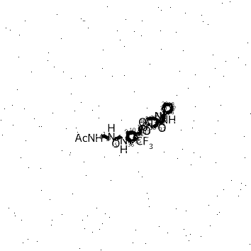 CC(=O)NCCNC(=O)CNc1ccc(/C=C/S(=O)(=O)N2CCC3(CC2)N=C(C2CCCCC2)NC3=O)c(C(F)(F)F)c1